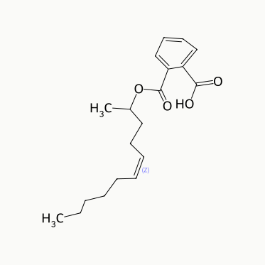 CCCCC/C=C\CCC(C)OC(=O)c1ccccc1C(=O)O